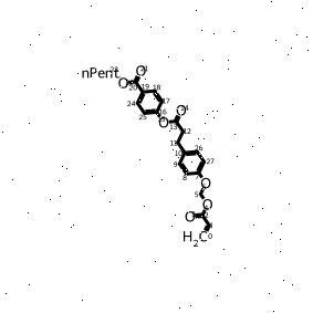 C=CC(=O)OCOc1ccc(CCC(=O)Oc2ccc(C(=O)OCCCCC)cc2)cc1